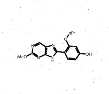 CCCOc1cc(O)ccc1-c1nc2cnc(OC)nc2[nH]1